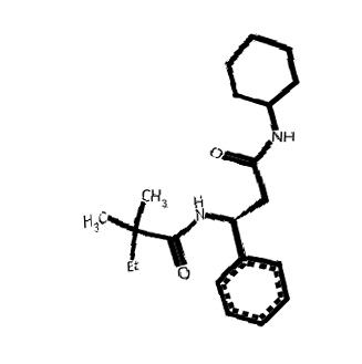 CCC(C)(C)C(=O)N[C@@H](CC(=O)NC1CCCCC1)c1ccccc1